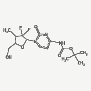 CC1C(CO)OC(n2ccc(NC(=O)OC(C)(C)C)nc2=O)C1(F)F